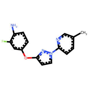 Cc1ccc(-n2ccc(Oc3ccc(N)c(F)c3)n2)nc1